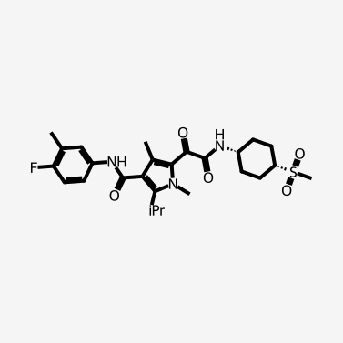 Cc1cc(NC(=O)c2c(C)c(C(=O)C(=O)N[C@H]3CC[C@@H](S(C)(=O)=O)CC3)n(C)c2C(C)C)ccc1F